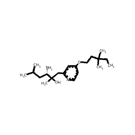 CCC(C)(C)CCOc1ccnc(CC(C)(O)[C@@H](N)CC(C)C)c1